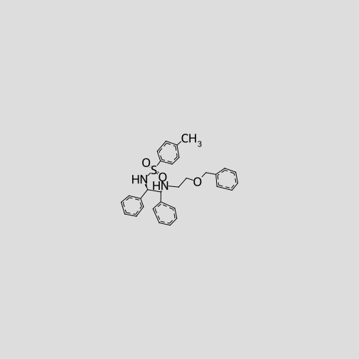 Cc1ccc(S(=O)(=O)N[C@H](c2ccccc2)[C@H](NCCOCc2ccccc2)c2ccccc2)cc1